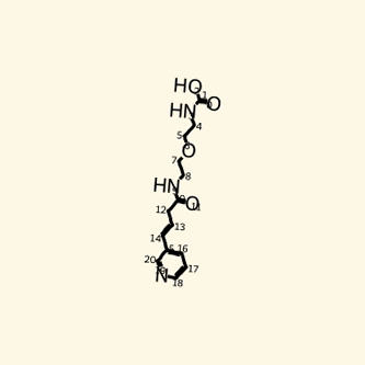 O=C(O)NCCOCCNC(=O)CC=Cc1cccnc1